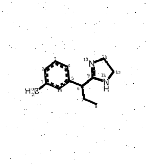 Bc1cccc(C(CC)C2=NCCN2)c1